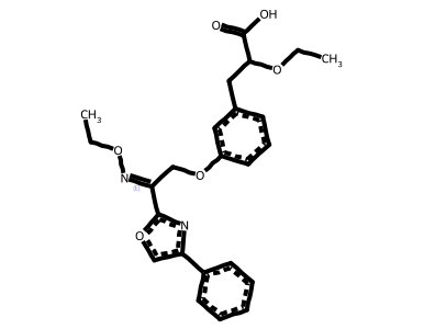 CCO/N=C(\COc1cccc(CC(OCC)C(=O)O)c1)c1nc(-c2ccccc2)co1